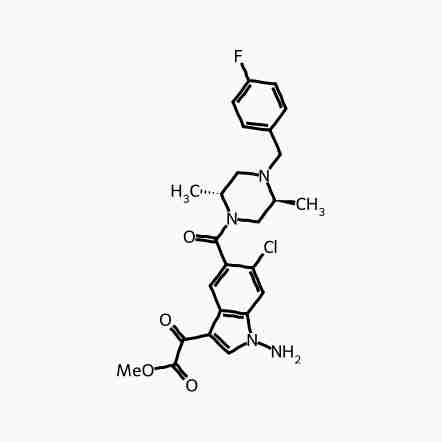 COC(=O)C(=O)c1cn(N)c2cc(Cl)c(C(=O)N3C[C@H](C)N(Cc4ccc(F)cc4)C[C@H]3C)cc12